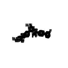 CC[C@](N)(Cc1ccc(-c2cc(OC(c3ccc(-c4cccc(F)c4)cc3)C(F)(F)F)nc(N)n2)cc1)C(=O)O